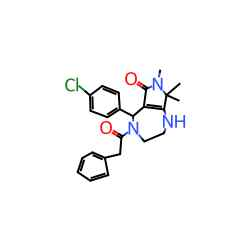 CN1C(=O)C2=C(NCCN(C(=O)Cc3ccccc3)C2c2ccc(Cl)cc2)C1(C)C